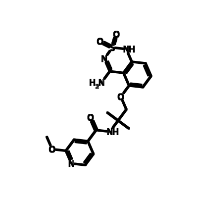 COc1cc(C(=O)NC(C)(C)COc2cccc3c2C(N)=NS(=O)(=O)N3)ccn1